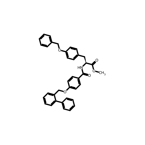 COC(=O)[C@H](Cc1ccc(OCc2ccccc2)cc1)NC(=O)c1ccc(OCc2ccccc2-c2ccccc2)cc1